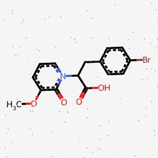 COc1cccn(C(Cc2ccc(Br)cc2)C(=O)O)c1=O